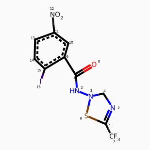 O=C(NN1CN=C(C(F)(F)F)S1)c1cc([N+](=O)[O-])ccc1I